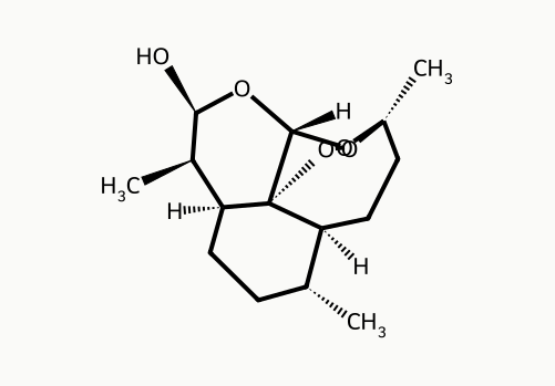 C[C@H]1[C@@H](O)O[C@@H]2O[C@]3(C)CC[C@H]4[C@H](C)CC[C@@H]1[C@@]24OO3